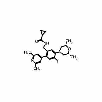 Cc1cc(-c2cc(F)c(N3C[C@@H](C)O[C@@H](C)C3)cc2CNC(=O)C2CC2)cc(C)n1